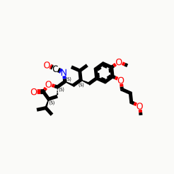 COCCCOc1cc(C[C@@H](C[C@H](N=C=O)[C@@H]2C[C@@H](C(C)C)C(=O)O2)C(C)C)ccc1OC